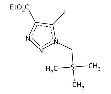 CCOC(=O)c1nnn(C[Si](C)(C)C)c1I